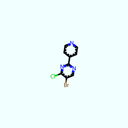 Clc1nc(-c2ccncc2)ncc1Br